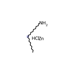 CCCCCCCC/C=C\CCCCCCCCN.Cl.[Zn]